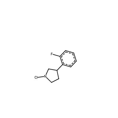 Fc1ccccc1C1CCN(Cl)C1